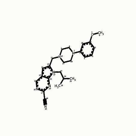 COc1cccc(N2CCN(Cc3cc4cnc(C#N)nc4n3CC(C)C)CC2)c1